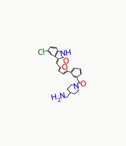 NCC1CCN(C(=O)c2cccc(-c3ccc(C=C4C(=O)Nc5ccc(Cl)cc54)o3)c2)CC1